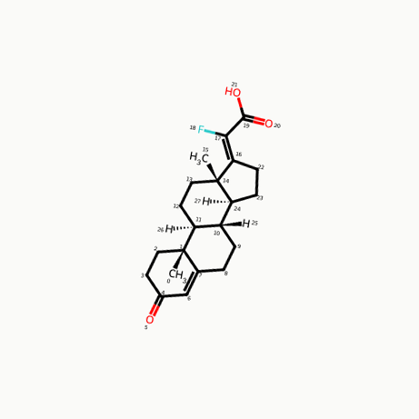 C[C@]12CCC(=O)C=C1CC[C@@H]1[C@@H]2CC[C@]2(C)C(=C(F)C(=O)O)CC[C@@H]12